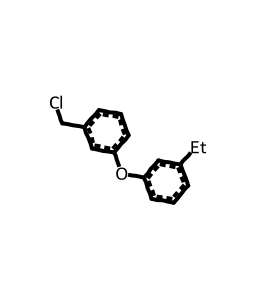 CCc1cccc(Oc2cccc(CCl)c2)c1